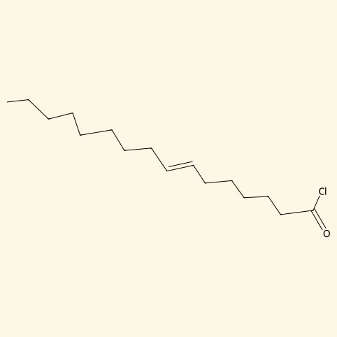 CCCCCCCCC=CCCCCCC(=O)Cl